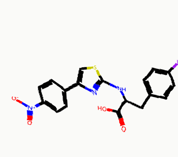 O=C(O)C(Cc1ccc(I)cc1)Nc1nc(-c2ccc([N+](=O)[O-])cc2)cs1